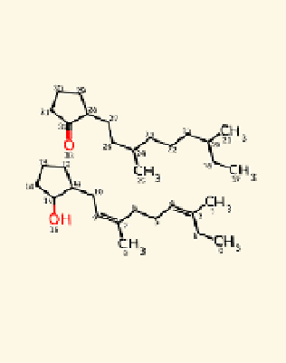 CCC(C)=CCCC(C)=CCC1CCCC1O.CCC(C)CCCC(C)CCC1CCCC1=O